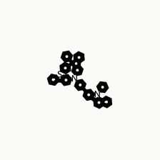 c1ccc(-n2c3cc(-c4ccc(N(c5ccc6c(c5)C(c5ccccc5)(c5ccccc5)c5ccccc5-6)c5ccc6c(c5)sc5ccccc56)cc4)ccc3c3ccc4ccccc4c32)cc1